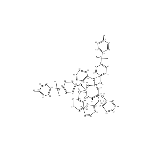 Cc1ccc(C(C)(C)c2ccc(OP3(Oc4ccccc4)=NP(Oc4ccccc4)(Oc4ccccc4)=NC(C)P(Oc4ccccc4)(Oc4ccc(C(C)(C)c5ccc(C)cc5)cc4)=N3)cc2)cc1